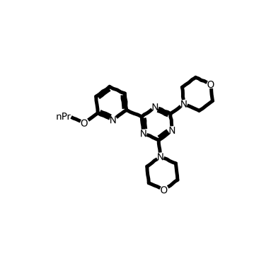 CCCOc1cccc(-c2nc(N3CCOCC3)nc(N3CCOCC3)n2)n1